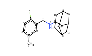 Cc1ccc(F)c(CNC23CC4CC(CC(C4)C2)C3)c1